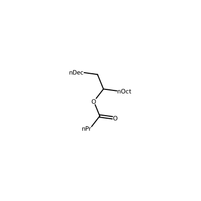 CCCCCCCCCCCC(CCCCCCCC)OC(=O)CCC